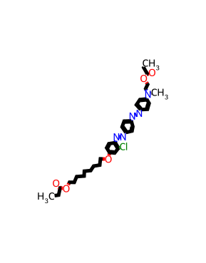 CCC(=O)OCCCCCCCCCOc1ccc(N=Nc2ccc(N=Nc3ccc(N(C)CCOC(=O)CC)cc3)cc2)c(Cl)c1